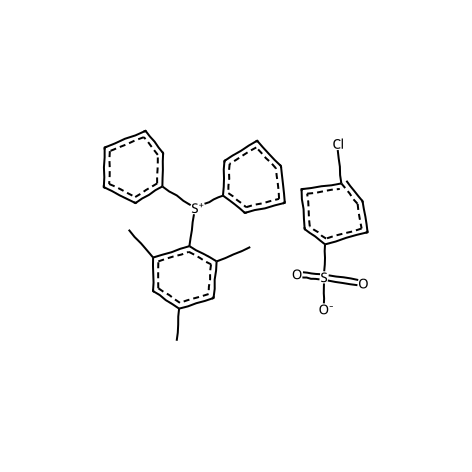 Cc1cc(C)c([S+](c2ccccc2)c2ccccc2)c(C)c1.O=S(=O)([O-])c1ccc(Cl)cc1